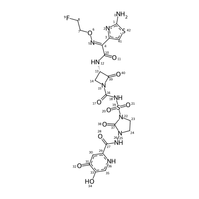 Nc1nc(C(=NOCCF)C(=O)N[C@H]2CN(C(=O)NS(=O)(=O)N3CCN(NC(=O)c4cc(=O)c(O)c[nH]4)C3=O)C2=O)cs1